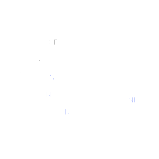 FC(F)(F)C1(n2cc(C3CNC3)nn2)CC1